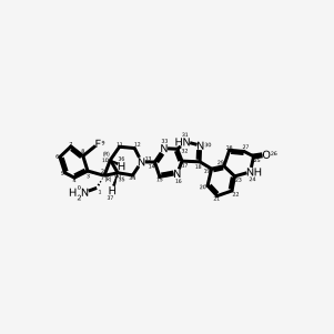 NC[C@]1(c2ccccc2F)[C@@H]2CCN(c3cnc4c(-c5cccc6[nH]c(=O)ccc56)n[nH]c4n3)C[C@@H]21